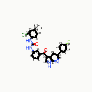 O=C(Nc1cccc(C(=O)c2c[nH]c3ncc(-c4ccc(F)cc4)cc23)c1)Nc1ccc(C(F)(F)F)cc1Cl